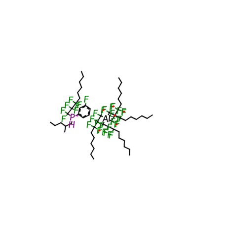 CCCCCCC(F)(F)C(F)(F)C(F)(F)[PH+](CC(C)CCC)c1cccc(F)c1F.CCCCCCC(F)(F)C(F)(F)[C](F)(F)[Al-]([C](F)(F)C(F)(F)C(F)(F)CCCCCC)([C](F)(F)C(F)(F)C(F)(F)CCCCCC)[C](F)(F)C(F)(F)C(F)(F)CCCCCC